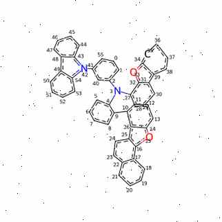 c1cc(N(c2ccccc2-c2cccc3oc4c5ccccc5ccc4c23)c2cccc3c2oc2ccccc23)cc(-n2c3ccccc3c3ccccc32)c1